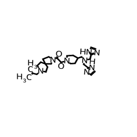 CC(C)CN1CCC2(CC1)CCN(C(=O)C(=O)N1CCC(CN(Cc3ncc[nH]3)Cc3ncc[nH]3)CC1)C2